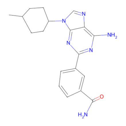 CC1CCC(n2cnc3c(N)nc(-c4cccc(C(N)=O)c4)nc32)CC1